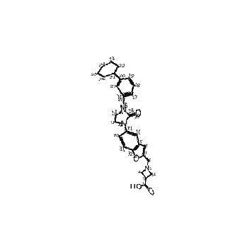 O=C(O)C1CN(Cc2cc3cc(N4CCN(c5cccc(C6CCCCC6)c5)C4=O)ccc3o2)C1